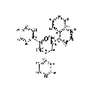 O=C(NC(CNc1ncnc2ccccc12)c1ccccc1)c1ccccc1